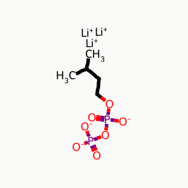 CC(C)CCOP(=O)([O-])OP(=O)([O-])[O-].[Li+].[Li+].[Li+]